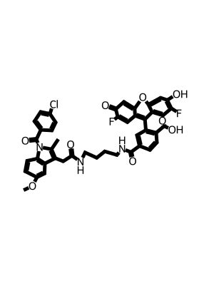 COc1ccc2c(c1)c(CC(=O)NCCCCNC(=O)c1ccc(C(=O)O)c(-c3c4cc(F)c(=O)cc-4oc4cc(O)c(F)cc34)c1)c(C)n2C(=O)c1ccc(Cl)cc1